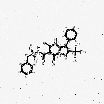 Cc1[nH]c2c(-c3ccccc3)c(C(F)(F)F)nn2c(=O)c1C(=O)NS(=O)(=O)Cc1ccccc1